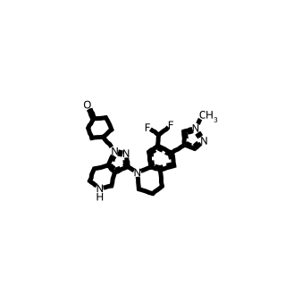 Cn1cc(-c2cc3c(cc2C(F)F)N(c2nn(C4CCC(=O)CC4)c4c2CNCC4)CCC3)cn1